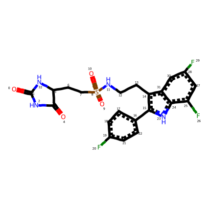 O=C1NC(=O)C(CCS(=O)(=O)NCCc2c(-c3ccc(F)cc3)[nH]c3c(F)cc(F)cc23)N1